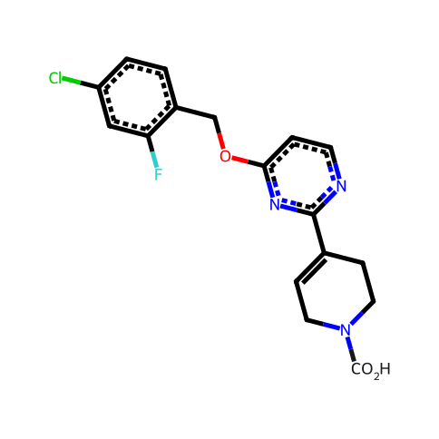 O=C(O)N1CC=C(c2nccc(OCc3ccc(Cl)cc3F)n2)CC1